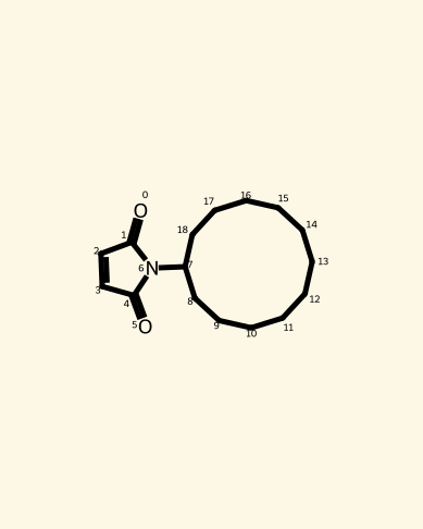 O=C1C=CC(=O)N1C1CCCCCCCCCCC1